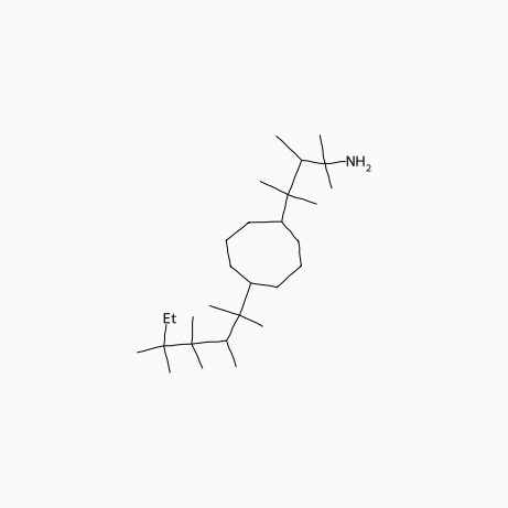 CCC(C)(C)C(C)(C)C(C)C(C)(C)C1CCCC(C(C)(C)C(C)C(C)(C)N)CCC1